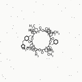 CC(C)C[C@H]1C(=O)O[C@H](Cc2ccc(Cc3ccsc3)cc2)C(=O)N(C)[C@@H](CC(C)C)C(=O)O[C@H](C)C(=O)N(C)[C@@H](CC(C)C)C(=O)O[C@H](Cc2ccccc2)C(=O)N(C)[C@@H](CC(C)C)C(=O)O[C@H](C)C(=O)N1C